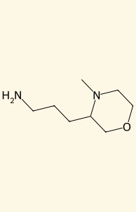 CN1CCOCC1CCCN